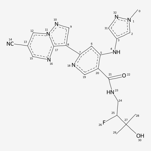 Cn1cc(Nc2cc(-c3cnn4cc(C#N)cnc34)ncc2C(=O)NCC(F)C(C)(C)O)cn1